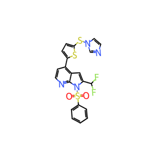 O=S(=O)(c1ccccc1)n1c(C(F)F)cc2c(-c3ccc(Sn4ccnc4)s3)ccnc21